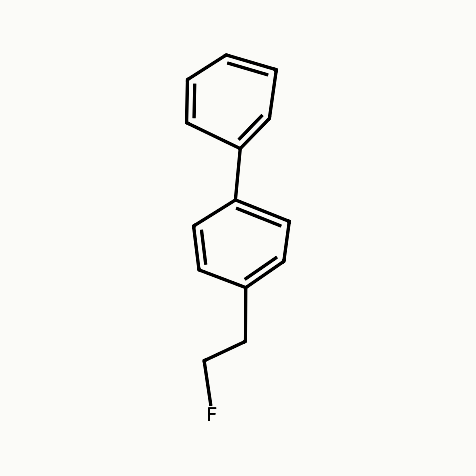 FCCc1ccc(-c2ccccc2)cc1